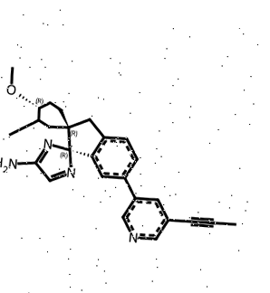 CC#Cc1cncc(-c2ccc3c(c2)[C@@]2(N=CC(N)=N2)[C@@]2(CC[C@@H](OC)C(C)C2)C3)c1